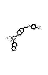 CN(CCN1CC2CN(CCOc3ccc(C#N)cc3)CC(C1)O2)S(=O)(=O)c1ccc2c(c1)CCO2